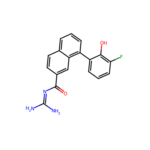 NC(N)=NC(=O)c1ccc2cccc(-c3cccc(F)c3O)c2c1